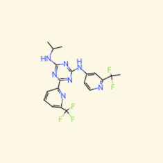 CC(C)Nc1nc(Nc2ccnc(C(C)(F)F)c2)nc(-c2cccc(C(F)(F)F)n2)n1